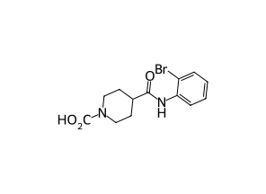 O=C(Nc1ccccc1Br)C1CCN(C(=O)O)CC1